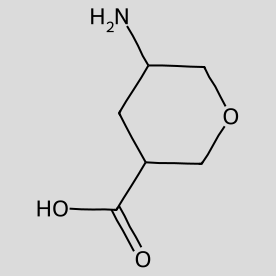 NC1COCC(C(=O)O)C1